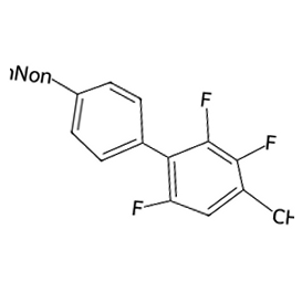 CCCCCCCCCc1ccc(-c2c(F)cc(C)c(F)c2F)cc1